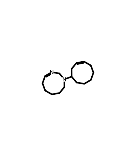 C1=CCC(N2CCCCCC=NC2)CCCCC1